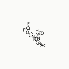 CC(=O)N1CCc2nc(N3CCC(Oc4ccc(F)cc4F)CC3)c(N[C@@H]3CCOC3)nc2C1